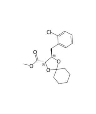 COC(=O)[C@H]1OC2(CCCCC2)O[C@@H]1Cc1ccccc1Cl